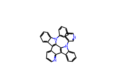 c1ccc(-n2c3ccccc3c3c4cccnc4c4c5ccccc5n(-c5cccnc5)c4c32)cc1